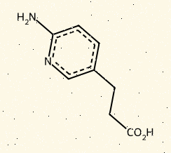 Nc1ccc(CCC(=O)O)cn1